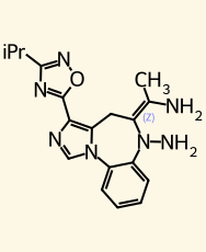 C/C(N)=C1\Cc2c(-c3nc(C(C)C)no3)ncn2-c2ccccc2N1N